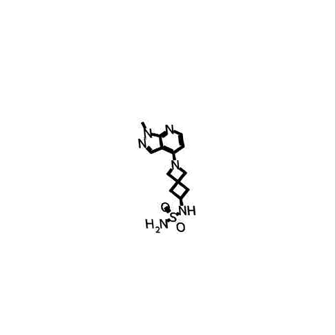 Cn1ncc2c(N3CC4(CC(NS(N)(=O)=O)C4)C3)ccnc21